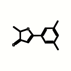 Cc1cc(C)cc(C2=CC(=O)C(C)O2)c1